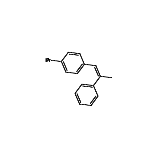 CC(=Cc1ccc(C(C)C)cc1)c1ccccc1